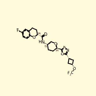 O=C(N[C@H]1CC[C@H](c2nnc([C@H]3C[C@@H](OC(F)(F)F)C3)o2)OC1)[C@H]1CCc2cc(F)ccc2O1